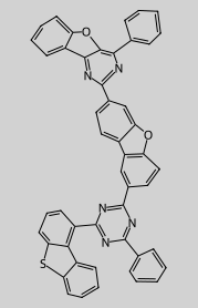 c1ccc(-c2nc(-c3ccc4oc5cc(-c6nc(-c7ccccc7)c7oc8ccccc8c7n6)ccc5c4c3)nc(-c3cccc4sc5ccccc5c34)n2)cc1